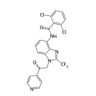 O=C(Cn1c(C(F)(F)F)nc2c(NC(=O)c3c(Cl)cccc3Cl)cccc21)c1ccncc1